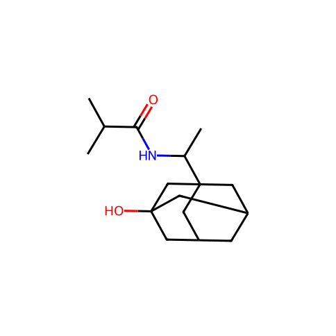 CC(C)C(=O)NC(C)C12CC3CC(CC(O)(C3)C1)C2